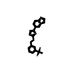 FC(F)(F)c1cccc(CSc2nnc(-c3ccc4nccn4c3)o2)c1